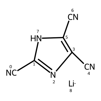 N#Cc1nc(C#N)c(C#N)[nH]1.[Li]